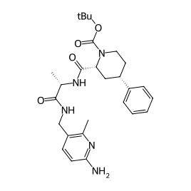 Cc1nc(N)ccc1CNC(=O)[C@H](C)NC(=O)[C@H]1C[C@@H](c2ccccc2)CCN1C(=O)OC(C)(C)C